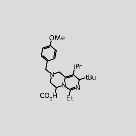 CCC1=NC(C(C)(C)C)C(C(C)C)=C2CN(Cc3ccc(OC)cc3)CC(C(=O)O)N12